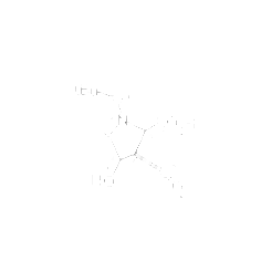 CC(C)(C)ON1CC(O)C(=C=O)C1C(=O)O